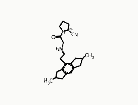 CC1Cc2cc3c(c(CCNCC(=O)N4CCC[C@H]4C#N)c2C1)CC(C)C3